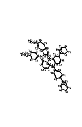 Cc1cc2c3c(c1)N(c1ccc(C(C)(C)C)cc1)c1c(sc4ccc(C(C)(C)C)cc14)B3c1cc(C3CC4CCC3C4)ccc1N2c1ccc(C2CC3CCC2C3)cc1